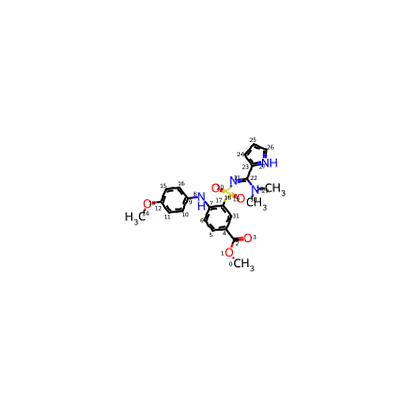 COC(=O)c1ccc(Nc2ccc(OC)cc2)c(S(=O)(=O)N=C(c2ccc[nH]2)N(C)C)c1